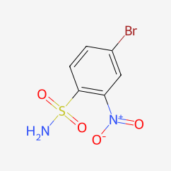 NS(=O)(=O)c1ccc(Br)cc1[N+](=O)[O-]